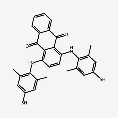 Cc1cc(S)cc(C)c1Nc1ccc(Nc2c(C)cc(S)cc2C)c2c1C(=O)c1ccccc1C2=O